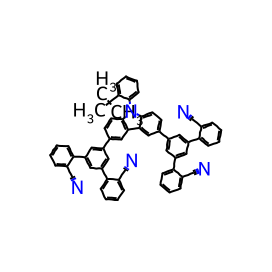 CC(C)(C)c1ccccc1-n1c2ccc(-c3cc(-c4ccccc4C#N)cc(-c4ccccc4C#N)c3)cc2c2cc(-c3cc(-c4ccccc4C#N)cc(-c4ccccc4C#N)c3)ccc21